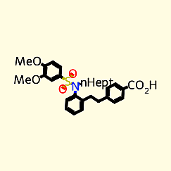 CCCCCCCN(c1ccccc1CCc1ccc(C(=O)O)cc1)S(=O)(=O)c1ccc(OC)c(OC)c1